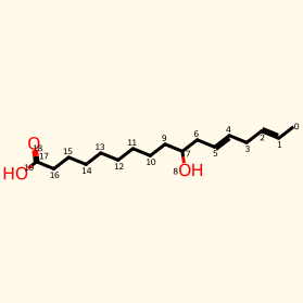 CC=CCC=CCC(O)CCCCCCCCC(=O)O